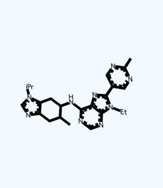 CCn1c(-c2cnc(C)nc2)nc2c(NC3Cc4c(ncn4C(C)C)CC3C)ncnc21